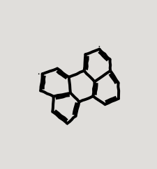 [c]1cc2cccc3c4cccc5c[c]cc(c(c1)c23)c54